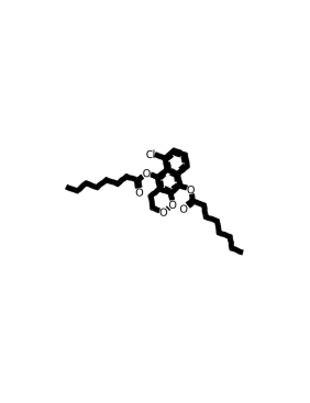 CCCCCCCC(=O)Oc1c2c(c(OC(=O)CCCCCCC)c3c(Cl)cccc13)CCOO2